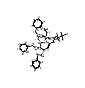 CC(C)(C)[Si](C)(C)OC/C=C/[C@@H](OCc1ccccc1)[C@@H](OCc1ccccc1)[C@@H](COCc1ccccc1)OS(=O)(=O)CCl